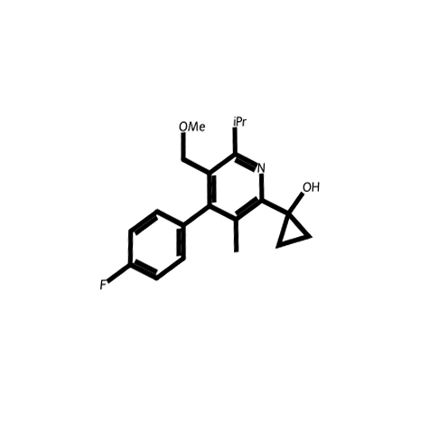 COCc1c(C(C)C)nc(C2(O)CC2)c(C)c1-c1ccc(F)cc1